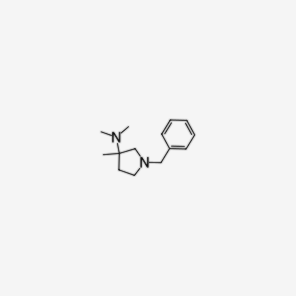 CN(C)C1(C)CCN(Cc2ccccc2)C1